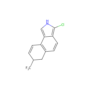 FC(F)(F)C1C=Cc2c(ccc3c(Cl)[nH]cc23)C1